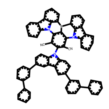 N#Cc1c(-n2c3ccc(-c4cccc(-c5ccccc5)c4)cc3c3cc(-c4cccc(-c5ccccc5)c4)ccc32)c(C#N)c2c3c1-n1c4ccccc4c4cccc(c41)B3c1cccc3c4ccccc4n-2c13